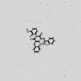 COc1cccc(-n2c(=O)c(Cc3ccccc3Cl)nn(CC(N)c3ccccc3)c2=O)c1F